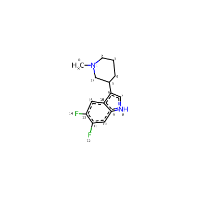 CN1CCCC(c2c[nH]c3cc(F)c(F)cc23)C1